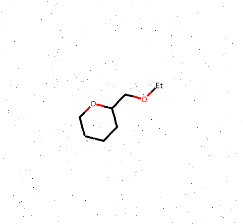 CCOCC1CCCCO1